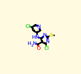 CSc1nc(Cl)c(C(N)=O)c(Nc2cncc(Cl)c2)n1